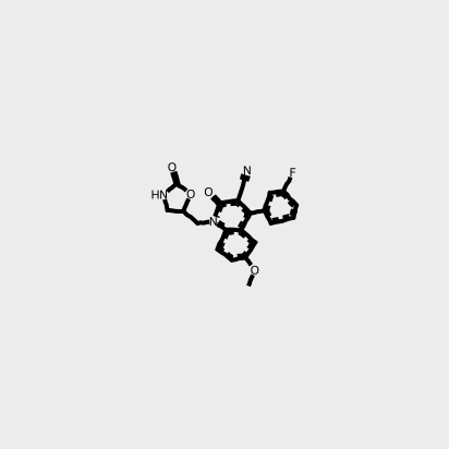 COc1ccc2c(c1)c(-c1cccc(F)c1)c(C#N)c(=O)n2CC1CNC(=O)O1